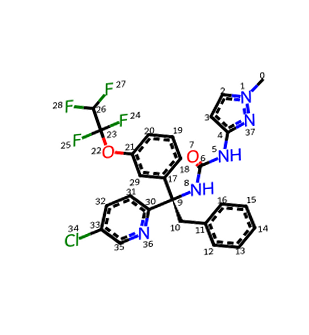 Cn1ccc(NC(=O)N[C@@](Cc2ccccc2)(c2cccc(OC(F)(F)C(F)F)c2)c2ccc(Cl)cn2)n1